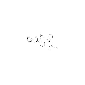 CC[C@H](C)C[C@@H](CC(=O)N1CCC[C@H]1[C@H](OC)[C@@H](C)C(=O)N[C@@]1(C(=O)N2CCCCO2)C[C@H]1c1ccccc1)OC